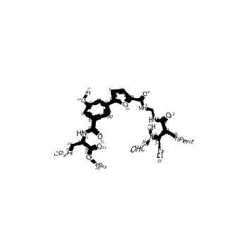 CCCCCC(C(=O)NCNC(=O)c1ccc(-c2cc(OCC)cc(C(=O)NC(CC(=O)O)C(=O)OC(C)(C)C)c2)o1)[C@@H](CC)N(O)C=O